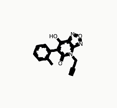 C#CCn1c(=O)c(-c2ccccc2C)c(O)c2nonc21